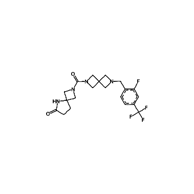 O=C1CCC2(CN(C(=O)N3CC4(CN(Cc5ccc(C(F)(F)F)cc5F)C4)C3)C2)N1